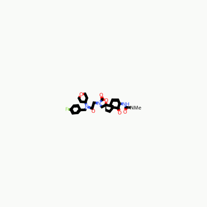 CNC(=O)NC1C=CC2=C(CC[C@]23CN(CC(=O)N(Cc2ccc(F)cc2)C2CCOCC2)C(=O)O3)C1=O